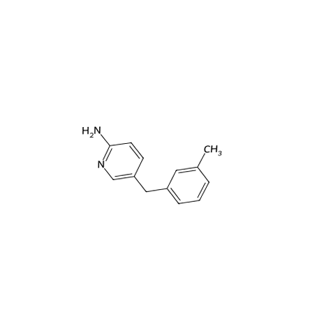 Cc1cccc(Cc2ccc(N)nc2)c1